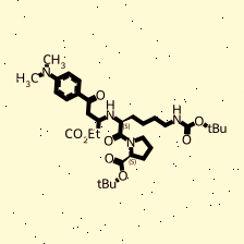 CCOC(=O)C(CC(=O)c1ccc(N(C)C)cc1)N[C@@H](CCCCNC(=O)OC(C)(C)C)C(=O)N1CCC[C@H]1C(=O)OC(C)(C)C